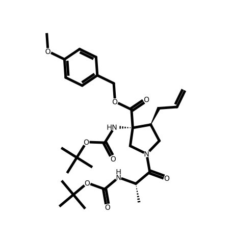 C=CC[C@H]1CN(C(=O)[C@H](C)NC(=O)OC(C)(C)C)C[C@@]1(NC(=O)OC(C)(C)C)C(=O)OCc1ccc(OC)cc1